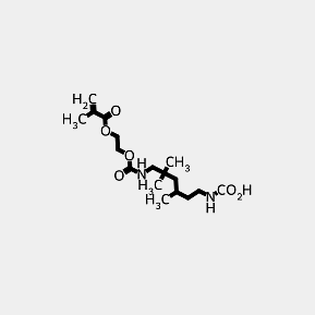 C=C(C)C(=O)OCCOC(=O)NCC(C)(C)CC(C)CCNC(=O)O